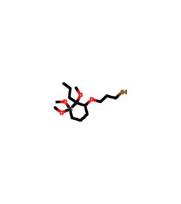 CCCC1(OC)C(OCCCS)CCC[Si]1(OC)OC